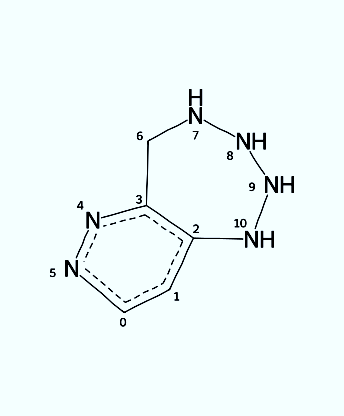 c1cc2c(nn1)CNNNN2